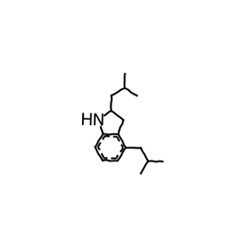 CC(C)Cc1cccc2c1CC(CC(C)C)N2